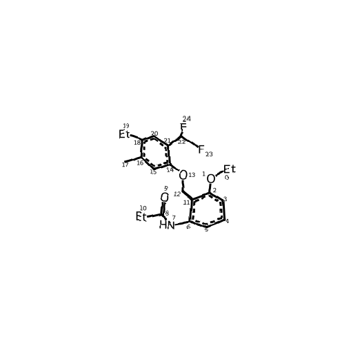 CCOc1cccc(NC(=O)CC)c1COc1cc(C)c(CC)cc1C(F)F